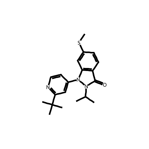 CSc1ccc2c(=O)n(C(C)C)n(-c3ccnc(C(C)(C)C)c3)c2c1